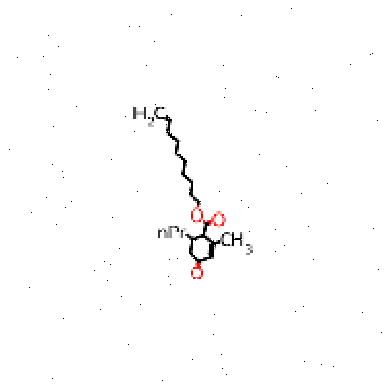 C=CCCCCCCCCOC(=O)C1C(C)=CC(=O)CC1CCC